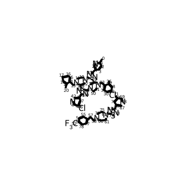 Cc1ccc(-c2nsc(N3CCN(Cc4ccccc4C)CC3)n2)cn1.Cc1ccccc1CN1CCN(c2nc(-c3cncc(Cl)c3)ns2)CC1.FC(F)(F)c1ccc(CCN2CCN(c3nc(-c4cncc(Cl)c4)ns3)CC2)cc1